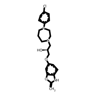 C=C1Nc2ccc(OC[C@@H](O)CN3CCCN(c4ccc(Cl)cc4)CC3)cc2O1